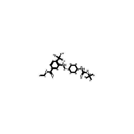 CCOC(=O)c1ccc(C(F)(F)F)c(NC[C@H]2CC[C@H](NC(=O)OC(C)(C)C)CC2)c1